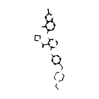 CCN1CCN(Cc2ccc(Nc3ncnc(Oc4ccc5[nH]c(C)cc5c4F)c3C(=O)N3CCC3)cc2)CC1